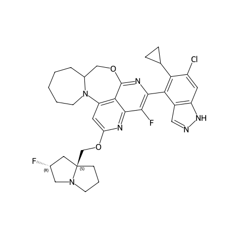 Fc1c(-c2c(C3CC3)c(Cl)cc3[nH]ncc23)nc2c3c(cc(OC[C@@]45CCCN4C[C@H](F)C5)nc13)N1CCCCCC1CO2